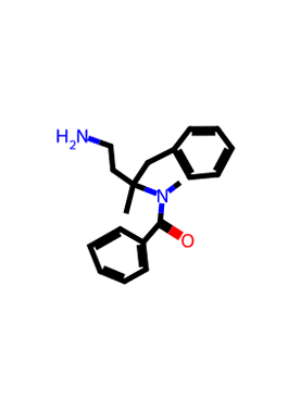 CN(C(=O)c1ccccc1)C(C)(CCN)Cc1ccccc1